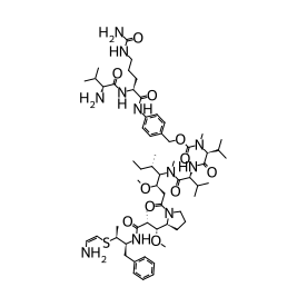 CC[C@H](C)C([C@@H](CC(=O)N1CCC[C@H]1[C@H](OC)[C@@H](C)C(=O)N[C@@H](Cc1ccccc1)[C@H](C)S/C=C\N)OC)N(C)C(=O)[C@@H](NC(=O)[C@H](C(C)C)N(C)C(=O)OCc1ccc(NC(=O)[C@H](CCCNC(N)=O)NC(=O)[C@@H](N)C(C)C)cc1)C(C)C